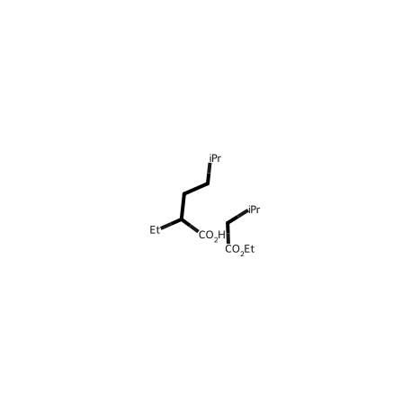 CCC(CCC(C)C)C(=O)O.CCOC(=O)CC(C)C